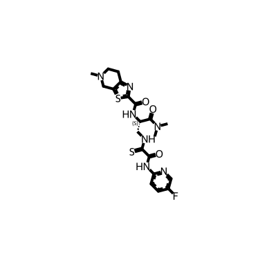 CN1CCc2nc(C(=O)N[C@@H](CNC(=S)C(=O)Nc3ccc(F)cn3)C(=O)N(C)C)sc2C1